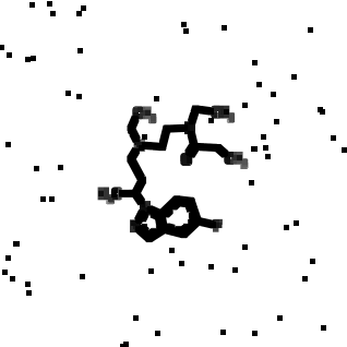 CCC(=O)N(CC)CCN(CC)CCC(C)n1ncc2cc(F)ccc21